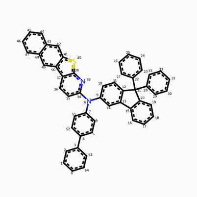 c1ccc(-c2ccc(N(c3ccc4c(c3)-c3ccccc3C4(c3ccccc3)c3ccccc3)c3ccc4c(n3)sc3cc5ccccc5cc34)cc2)cc1